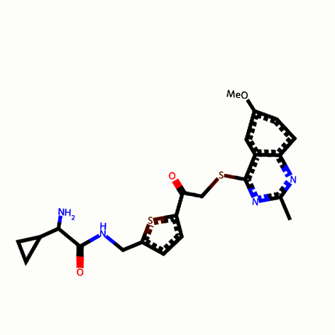 COc1ccc2nc(C)nc(SCC(=O)c3ccc(CNC(=O)C(N)C4CC4)s3)c2c1